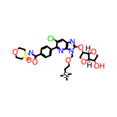 C[Si](C)(C)CCOCn1c(O[C@@H]2CO[C@H]3[C@@H]2OC[C@H]3O)nc2cc(Cl)c(-c3ccc(C(=O)N=S4(=O)CCOCC4)cc3)nc21